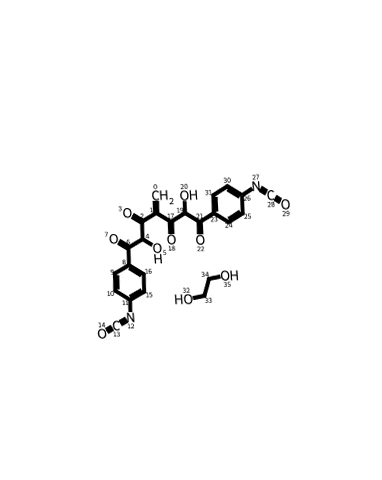 C=C(C(=O)C(O)C(=O)c1ccc(N=C=O)cc1)C(=O)C(O)C(=O)c1ccc(N=C=O)cc1.OCCO